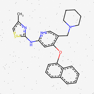 Cc1csc(Nc2cc(Oc3cccc4ccccc34)c(CN3CCCCC3)cn2)n1